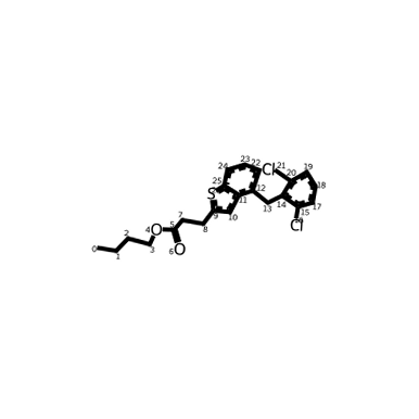 CCCCOC(=O)CCc1cc2c(Cc3c(Cl)cccc3Cl)cccc2s1